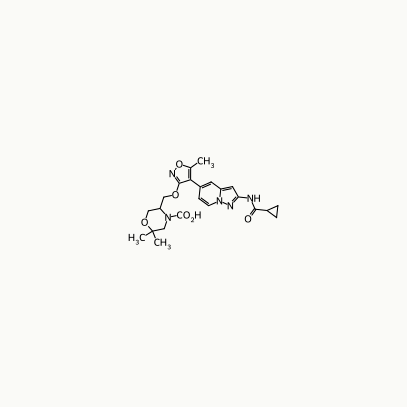 Cc1onc(OCC2COC(C)(C)CN2C(=O)O)c1-c1ccn2nc(NC(=O)C3CC3)cc2c1